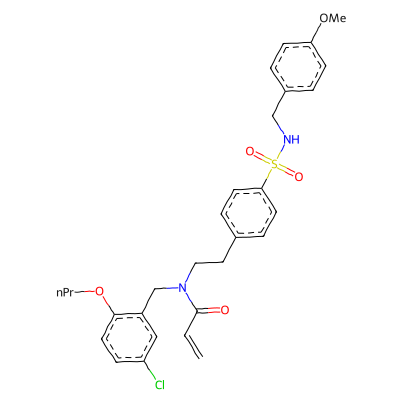 C=CC(=O)N(CCc1ccc(S(=O)(=O)NCc2ccc(OC)cc2)cc1)Cc1cc(Cl)ccc1OCCC